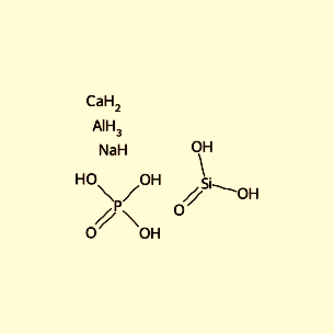 O=P(O)(O)O.O=[Si](O)O.[AlH3].[CaH2].[NaH]